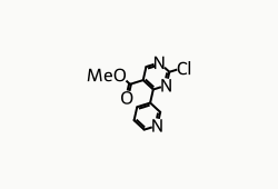 COC(=O)c1cnc(Cl)nc1-c1cccnc1